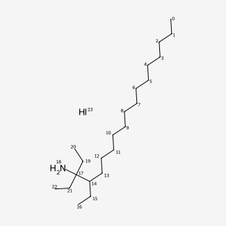 CCCCCCCCCCCCCCC(CC)C(N)(CC)CC.I